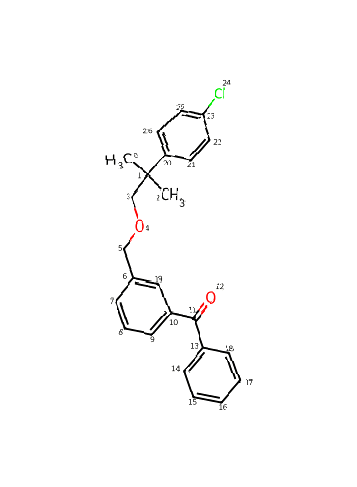 CC(C)(COCc1cccc(C(=O)c2ccccc2)c1)c1ccc(Cl)cc1